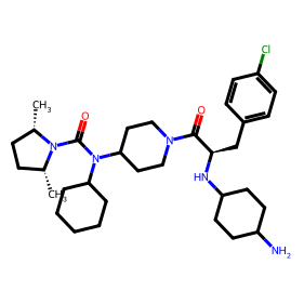 C[C@@H]1CC[C@H](C)N1C(=O)N(C1CCCCC1)C1CCN(C(=O)[C@@H](Cc2ccc(Cl)cc2)NC2CCC(N)CC2)CC1